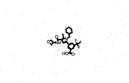 Cc1c(C(=O)NC2COC2)cc(-c2cc(C(=O)O)cc(C(F)(F)F)c2)n1CC1CCCCC1